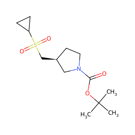 CC(C)(C)OC(=O)N1CC[C@H](CS(=O)(=O)C2CC2)C1